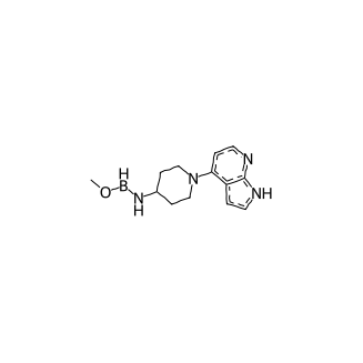 COBNC1CCN(c2ccnc3[nH]ccc23)CC1